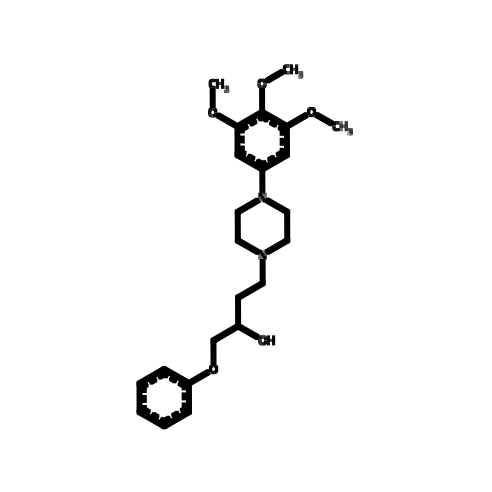 COc1cc(N2CCN(CCC(O)COc3ccccc3)CC2)cc(OC)c1OC